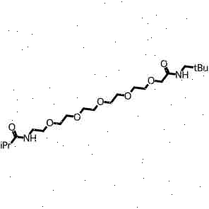 CC(C)C(=O)NCCOCCOCCOCCOCCOCC(=O)NCC(C)(C)C